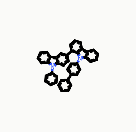 c1ccc(-c2ccc(-n3c4ccccc4c4cccc(-c5ccc6c(c5)c5ccccc5n6-c5ccccc5)c43)cc2)cc1